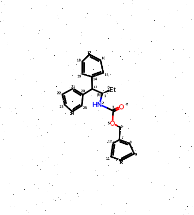 CC[C@@H](NC(=O)OCc1ccccc1)C(c1ccccc1)c1ccccc1